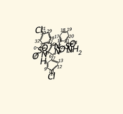 CS(=O)(=O)Nc1c(-c2ccc(Cl)cc2)nn(-c2ccccc2S(N)(=O)=O)c1-c1ccc(Cl)cc1